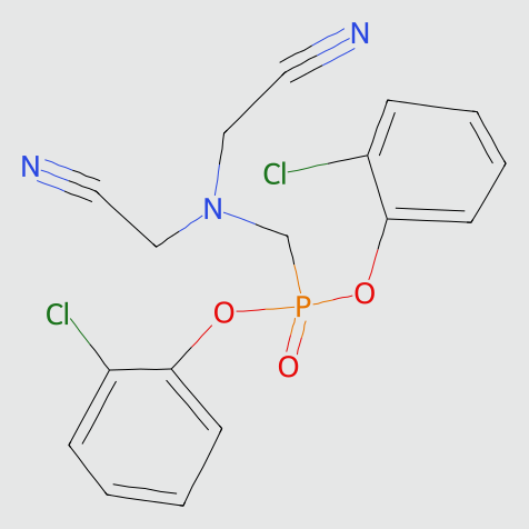 N#CCN(CC#N)CP(=O)(Oc1ccccc1Cl)Oc1ccccc1Cl